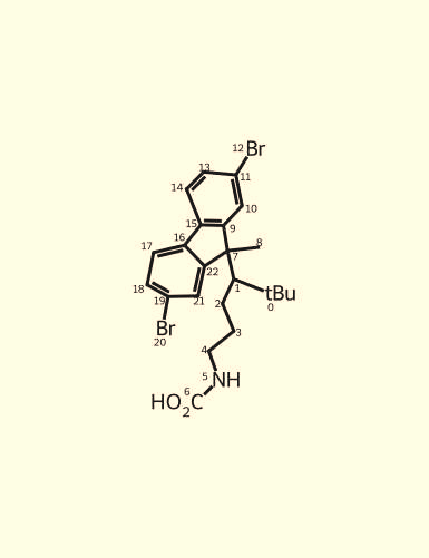 CC(C)(C)C(CCCNC(=O)O)C1(C)c2cc(Br)ccc2-c2ccc(Br)cc21